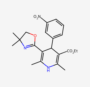 CCOC(=O)C1=C(C)NC(C)=C(C2=NC(C)(C)CO2)C1c1cccc([N+](=O)[O-])c1